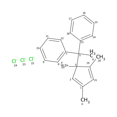 CC1=C[C]([Ti+3])(C(C)(c2ccccc2)c2ccccc2)C(C)=C1.[Cl-].[Cl-].[Cl-]